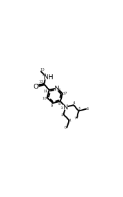 CCCN(CC(C)C)c1ccc(C(=O)NC)nc1